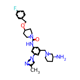 Cc1cn(-c2cc(CN3CCC[C@H](N)C3)cc(NC(=O)N3CCC(OCc4ccc(F)cc4)CC3)c2)cn1